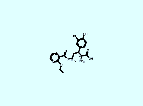 CCOc1ncccc1C(=O)O[C@@H](C)CC(c1ccc(O)c(O)c1)[C@H](N)C(=O)O